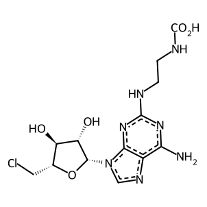 Nc1nc(NCCNC(=O)O)nc2c1ncn2[C@@H]1O[C@H](CCl)[C@@H](O)[C@@H]1O